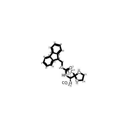 CC1([C@H](NC(=O)OCC2c3ccccc3-c3ccccc32)C(=O)O)OCCO1